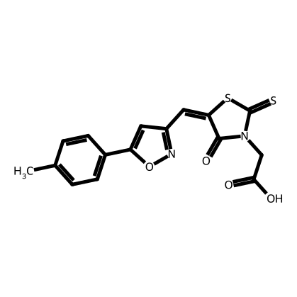 Cc1ccc(-c2cc(C=C3SC(=S)N(CC(=O)O)C3=O)no2)cc1